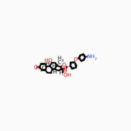 C[C@]12C=CC(=O)C=C1CC[C@@H]1[C@@H]2[C@@H](O)C[C@@]2(C)[C@H]1C[C@H]1O[C@@H](c3cccc(Oc4ccc(N)cc4)c3)O[C@]12C(=O)CO